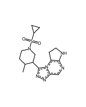 CC1CCN(S(=O)(=O)C2CC2)CC1c1nnc2cnc3c(n12)CCN3